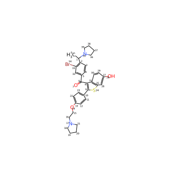 CC(c1ccc(C(=O)c2c(-c3ccc(OCCN4CCCC4)cc3)sc3cc(O)ccc23)cc1Br)N1CCCC1